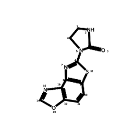 O=C1NCCN1c1nc2c(ccc3ocnc32)s1